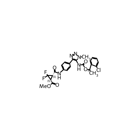 COC(=O)[C@@H]1[C@@H](C(=O)Nc2ccc(-c3nnn(C)c3NC(=O)O[C@H](C)c3ccccc3Cl)cc2)C1(F)F